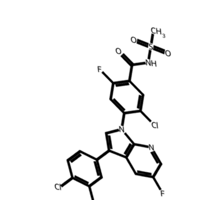 CS(=O)(=O)NC(=O)c1cc(Cl)c(-n2cc(-c3ccc(Cl)c(F)c3)c3cc(F)cnc32)cc1F